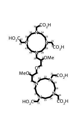 COC(COCC(CN1CCN(CC(=O)O)CCN(CC(=O)O)CCN(CC(=O)O)CC1)OC)CN1CCN(CC(=O)O)CCN(CC(=O)O)CCN(CC(=O)O)CC1